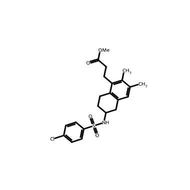 COC(=O)CCc1c(C)c(C)cc2c1CCC(NS(=O)(=O)c1ccc(Cl)cc1)C2